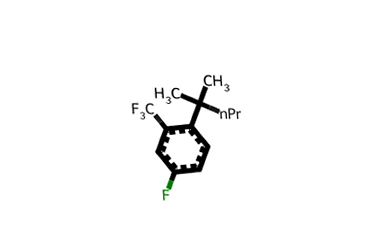 CCCC(C)(C)c1ccc(F)cc1C(F)(F)F